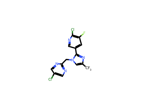 Fc1cc(-c2nc(C(F)(F)F)cn2Cc2ncc(Cl)cn2)cnc1Cl